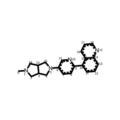 CN1CC2CN(c3ccc(-c4cccc5ncccc45)nc3)CC2C1